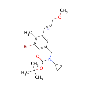 COC/C=C/c1cc(CN(C(=O)OC(C)(C)C)C2CC2)cc(Br)c1C